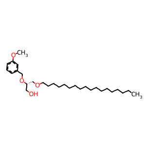 CCCCCCCCCCCCCCCCCCOC[C@H](CO)OCc1cccc(OC)c1